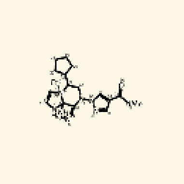 CC[N@@+]12C=NNC13NC=NC=C3N(n1cc(C(=O)NC)cn1)CC2C1CCCC1